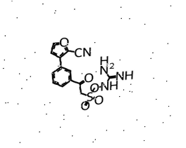 N#Cc1occc1-c1cccc(C(=O)CS(=O)(=O)ONC(=N)N)c1